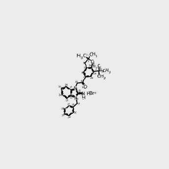 Br.CC1(C)Cc2cc(C(=O)Cn3c(=N)n(Cc4ccccc4)c4ccccc43)cc(C(C)(C)C)c2O1